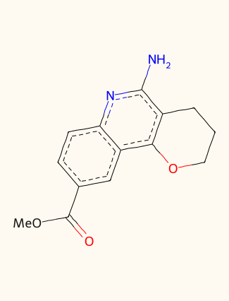 COC(=O)c1ccc2nc(N)c3c(c2c1)OCCC3